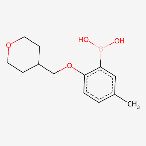 Cc1ccc(OCC2CCOCC2)c(B(O)O)c1